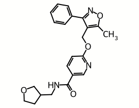 Cc1onc(-c2ccccc2)c1COc1ccc(C(=O)NCC2CCOC2)cn1